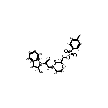 Cc1ccc(S(=O)(=O)OCC2CN(CC(=O)N3c4ccccc4CC3C)CCO2)cc1